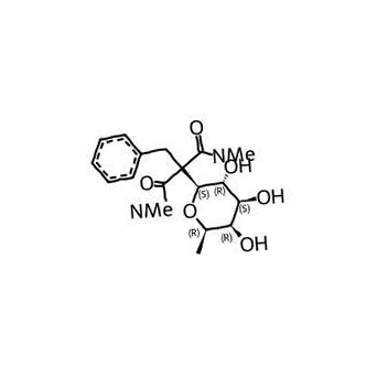 CNC(=O)C(Cc1ccccc1)(C(=O)NC)[C@@H]1O[C@H](C)[C@H](O)[C@H](O)[C@H]1O